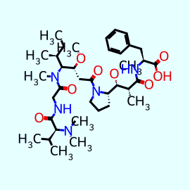 CC[C@H](C)[C@@H]([C@@H](CC(=O)N1CCC[C@H]1[C@H](OC)[C@@H](C)C(=O)N[C@@H](Cc1ccccc1)C(=O)O)OC)N(C)C(=O)CNC(=O)[C@H](C(C)C)N(C)C